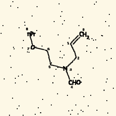 C=CCN([C]=O)CCOCCC